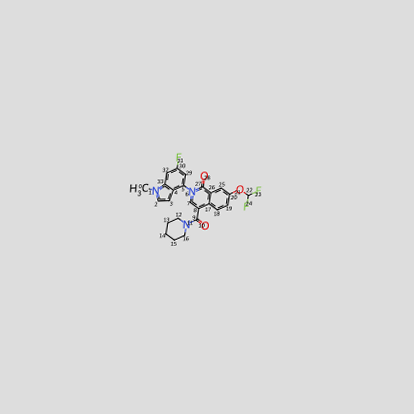 Cn1ccc2c(-n3cc(C(=O)N4CCCCC4)c4ccc(OC(F)F)cc4c3=O)cc(F)cc21